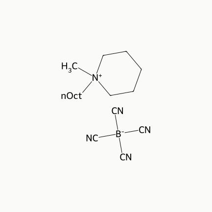 CCCCCCCC[N+]1(C)CCCCC1.N#C[B-](C#N)(C#N)C#N